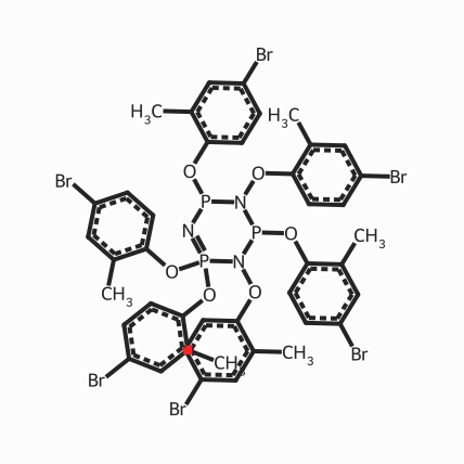 Cc1cc(Br)ccc1ON1P(Oc2ccc(Br)cc2C)N=P(Oc2ccc(Br)cc2C)(Oc2ccc(Br)cc2C)N(Oc2ccc(Br)cc2C)P1Oc1ccc(Br)cc1C